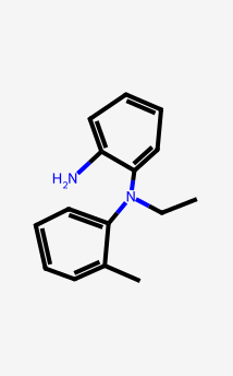 CCN(c1ccccc1C)c1ccccc1N